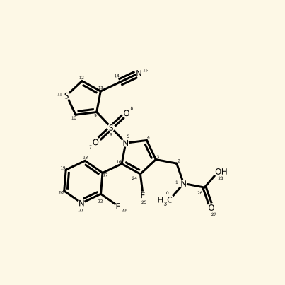 CN(Cc1cn(S(=O)(=O)c2cscc2C#N)c(-c2cccnc2F)c1F)C(=O)O